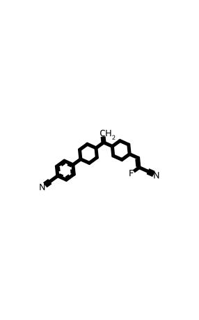 C=C(C1CCC(C=C(F)C#N)CC1)C1CCC(c2ccc(C#N)cc2)CC1